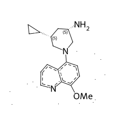 COc1ccc(N2C[C@@H](N)C[C@@H](C3CC3)C2)c2cccnc12